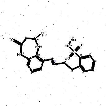 C[C@@H]1CC(=O)Nc2cccc(/C=C/CCc3ccccc3S(=O)(=O)NC(C)(C)C)c2N1